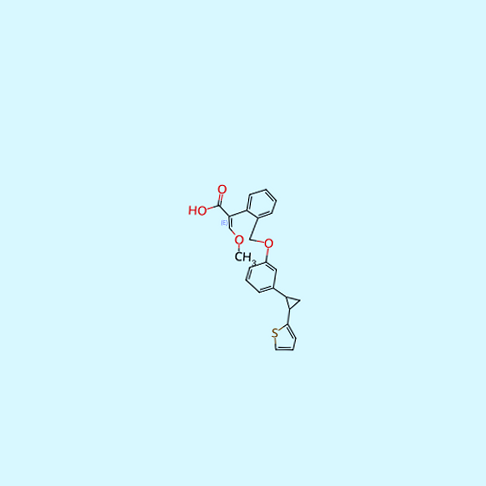 CO/C=C(/C(=O)O)c1ccccc1COc1cccc(C2CC2c2cccs2)c1